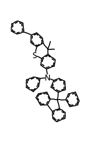 CC1(C)c2ccc(-c3ccccc3)cc2Sc2cc(N(c3ccccc3)c3cccc(C4(c5ccccc5)c5ccccc5-c5ccccc54)c3)ccc21